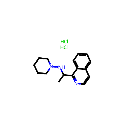 CC(NN1CCCCC1)c1nccc2ccccc12.Cl.Cl